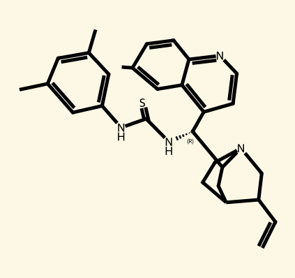 C=CC1CN2CCC1CC2[C@H](NC(=S)Nc1cc(C)cc(C)c1)c1ccnc2ccc(C)cc12